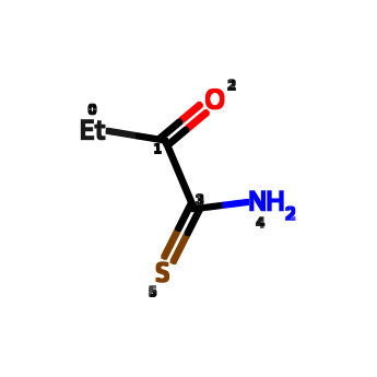 CCC(=O)C(N)=S